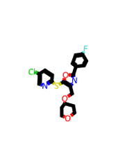 Fc1ccc(-c2nc(COC3CCOCC3)c(Sc3ccc(Cl)cn3)o2)cc1